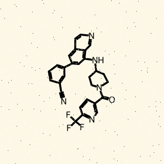 N#Cc1cccc(-c2cc(NC3CCN(C(=O)c4ccc(C(F)(F)F)nc4)CC3)c3cnccc3c2)c1